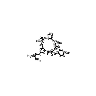 CC[C@H](C)[C@H]1NC(=O)[C@H](CC(C)C)NC(=O)[C@@H](C(C)C)NC(=O)[C@@H](CCCN=C(N)N)NC(=O)[C@H](Cc2ccc(O)cc2)NC1=O